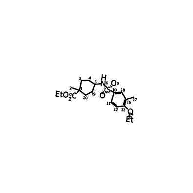 CCOC(=O)C1(C)CCC(NS(=O)(=O)c2ccc(OCC)c(C)c2)CC1